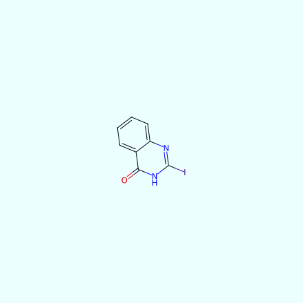 O=c1[nH]c(I)nc2ccccc12